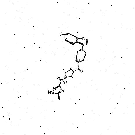 Cc1nc(S(=O)(=O)N2CC[C@H](C(=O)N3CCN(c4ccnc5cc(F)ccc45)CC3)C2)n[nH]1